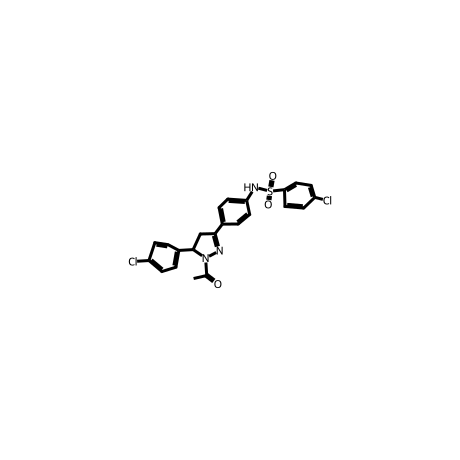 CC(=O)N1N=C(c2ccc(NS(=O)(=O)c3ccc(Cl)cc3)cc2)CC1c1ccc(Cl)cc1